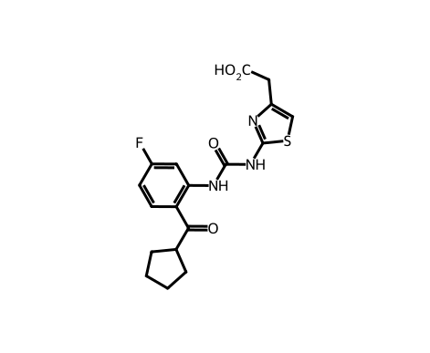 O=C(O)Cc1csc(NC(=O)Nc2cc(F)ccc2C(=O)C2CCCC2)n1